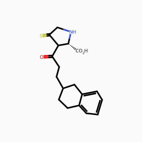 O=C(CCC1CCc2ccccc2C1)C1C(=S)CN[C@@H]1C(=O)O